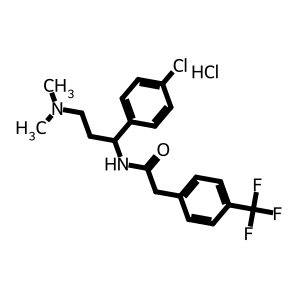 CN(C)CCC(NC(=O)Cc1ccc(C(F)(F)F)cc1)c1ccc(Cl)cc1.Cl